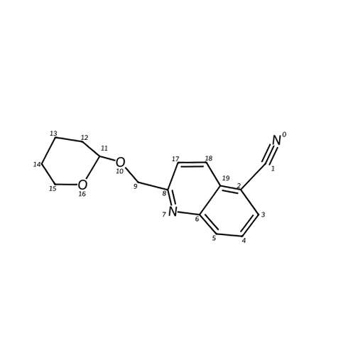 N#Cc1cccc2nc(COC3CCCCO3)ccc12